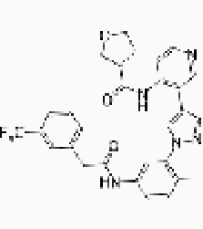 Cc1ccc(NC(=O)Cc2cccc(C(F)(F)F)c2)cc1-n1cc(-c2cnccc2NC(=O)C2CCOC2)cn1